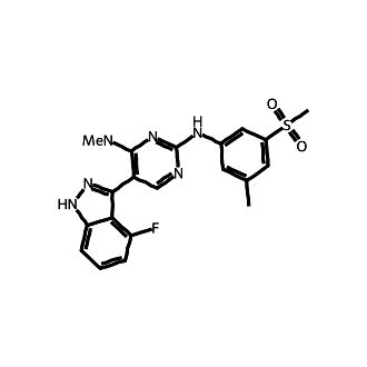 CNc1nc(Nc2cc(C)cc(S(C)(=O)=O)c2)ncc1-c1n[nH]c2cccc(F)c12